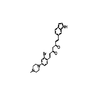 CN1CCN(c2ccc(C=CC(=O)CC(=O)C=Cc3ccc4cc[nH]c4c3)c(Br)c2)CC1